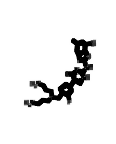 Cc1cc(Cl)c2oc(Nc3nc(=O)c(-c4ccc(CN(CCCN)CCCN)c(F)c4)c[nH]3)nc2c1